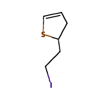 ICCC1CC=CS1